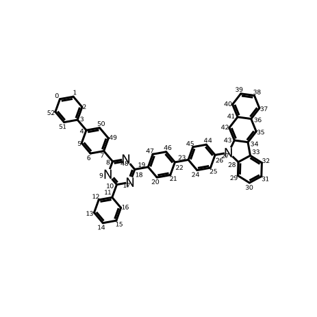 c1ccc(-c2ccc(-c3nc(-c4ccccc4)nc(-c4ccc(-c5ccc(-n6c7ccccc7c7cc8ccccc8cc76)cc5)cc4)n3)cc2)cc1